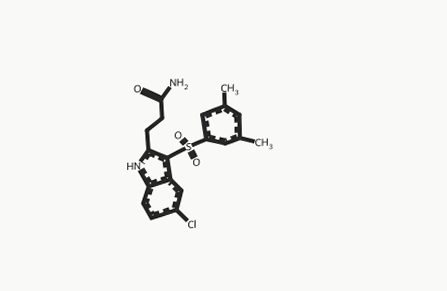 Cc1cc(C)cc(S(=O)(=O)c2c(CCC(N)=O)[nH]c3ccc(Cl)cc23)c1